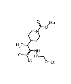 CCOCNN/C(=C(/Cl)CC)C(C)C1CCN(C(=O)OC(C)(C)C)CC1